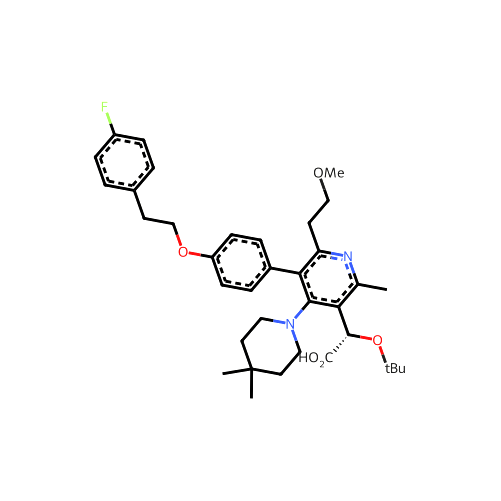 COCCc1nc(C)c([C@H](OC(C)(C)C)C(=O)O)c(N2CCC(C)(C)CC2)c1-c1ccc(OCCc2ccc(F)cc2)cc1